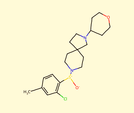 Cc1ccc([S+]([O-])N2CCC3(CCN(C4CCOCC4)C3)CC2)c(Cl)c1